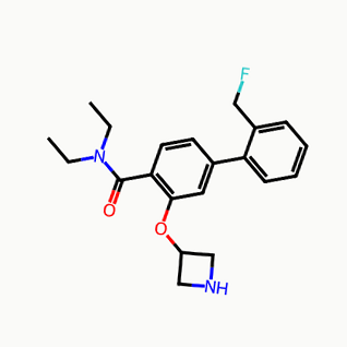 CCN(CC)C(=O)c1ccc(-c2ccccc2CF)cc1OC1CNC1